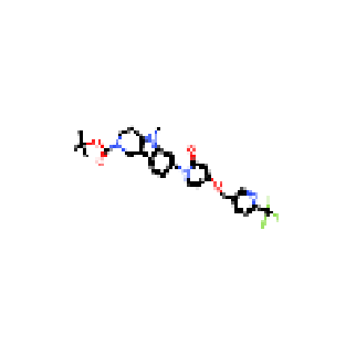 Cn1c2c(c3ccc(-n4ccc(OCc5ccc(C(F)(F)F)nc5)cc4=O)cc31)CN(C(=O)OC(C)(C)C)CC2